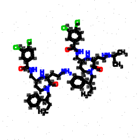 CC[C@H](CN1CC[C@@H](CNC(=O)c2ccc(Cl)c(Cl)c2)N[C@@H](CCN)C1=O)c1ccccc1.CC[C@H](CN1CC[C@@H](CNC(=O)c2ccc(Cl)c(Cl)c2)N[C@@H](CCNC(C)C)C1=O)c1ccccc1